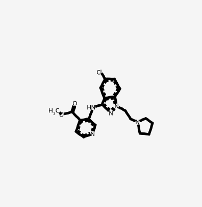 COC(=O)c1ccncc1Nc1nn(CCN2CCCC2)c2ccc(Cl)cc12